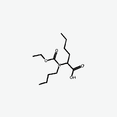 CCCCC(C(=O)O)N(CCCC)C(=O)OCC